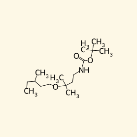 CCC(C)CCOC(C)(C)CCNC(=O)OC(C)(C)C